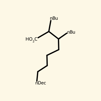 CCCCCCCCCCCCCC[C](CCCC)C(CCCC)C(=O)O